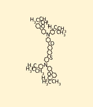 CC(C)(C)c1ccc(N(c2ccc3c(c2)oc2cc4cc5sc6cc(N(c7ccc(C(C)(C)C)cc7)c7ccc8c(c7)oc7c(C(C)(C)C)cccc78)ccc6c5cc4cc23)c2ccc3c(c2)oc2c(C(C)(C)C)cccc23)cc1